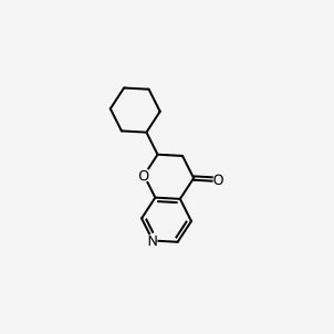 O=C1CC(C2CCCCC2)Oc2cnccc21